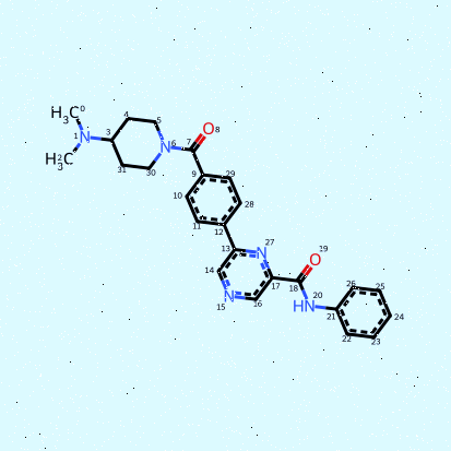 CN(C)C1CCN(C(=O)c2ccc(-c3cncc(C(=O)Nc4ccccc4)n3)cc2)CC1